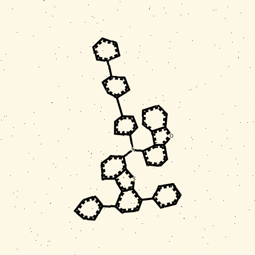 c1ccc(-c2ccc(-c3ccc(N(c4cccc5c4sc4c(-c6ccccc6)ccc(-c6ccccc6)c45)c4cccc5oc6ccccc6c45)cc3)cc2)cc1